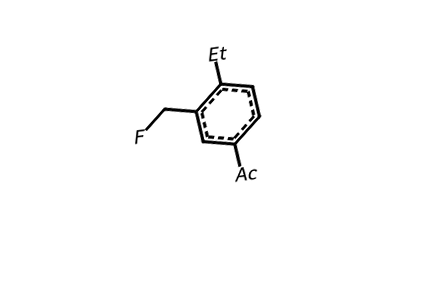 CCc1ccc(C(C)=O)cc1CF